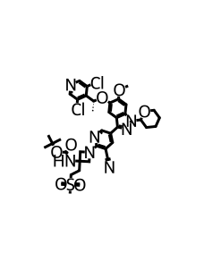 COc1cc2c(cc1O[C@H](C)c1c(Cl)cncc1Cl)c(-c1cnc(N3CC(CCS(C)(=O)=O)(NC(=O)OC(C)(C)C)C3)c(C#N)c1)nn2C1CCCCO1